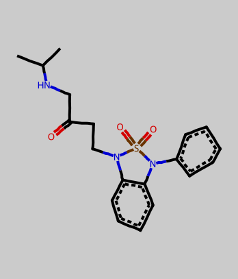 CC(C)NCC(=O)CCN1c2ccccc2N(c2ccccc2)S1(=O)=O